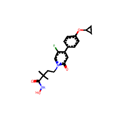 CC(C)(CCn1cc(F)c(-c2ccc(OC3CC3)cc2)cc1=O)C(=O)NO